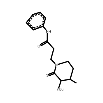 CCCCC1C(=O)N(CCC(=O)Nc2ccccc2)CCC1C